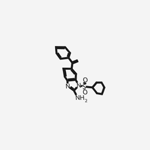 C=C(c1ccccc1)c1ccc2nc(N)n(S(=O)(=O)C3CCCCC3)c2c1